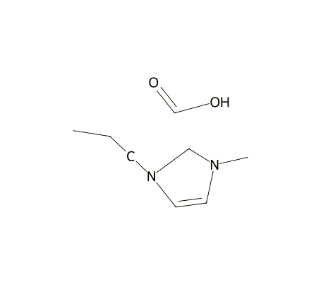 CCCN1C=CN(C)C1.O=CO